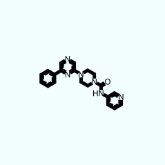 O=C(Nc1cccnc1)N1CCN(c2cncc(-c3ccccc3)n2)CC1